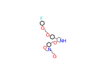 COCCCN1CCOc2ccc(COC3CNCCC3c3ccc(OCCCOc4ccc(F)cc4)cc3)cc21